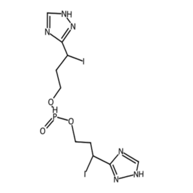 O=[PH](OCCC(I)c1nc[nH]n1)OCCC(I)c1nc[nH]n1